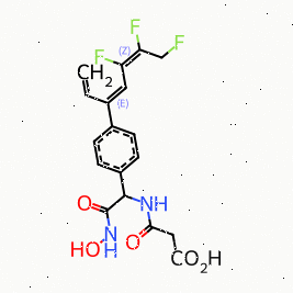 C=C/C(=C\C(F)=C(\F)CF)c1ccc(C(NC(=O)CC(=O)O)C(=O)NO)cc1